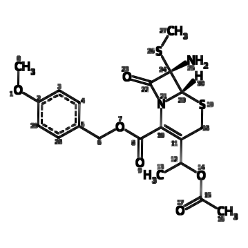 COc1ccc(COC(=O)C2=C(C(C)OC(C)=O)CS[C@@H]3N2C(=O)[C@]3(N)SC)cc1